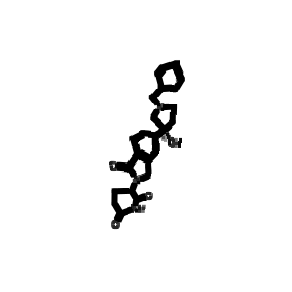 O=C1CCC(N2Cc3cc([C@]4(O)CCN(Cc5ccccc5)C4)ccc3C2=O)C(=O)N1